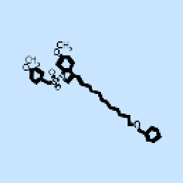 COc1ccc(CS(=O)(=O)n2cc(C=CCCCCCCCCCCOCc3ccccc3)c3ccc(OC)cc32)cc1